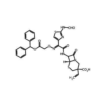 C=CC1(C(=O)O)CS[C@@H]2C(NC(=O)C(=NOCC(=O)OC(c3ccccc3)c3ccccc3)c3csc(NC=O)n3)C(=O)N2C1